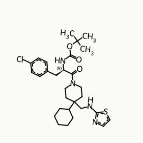 CC(C)(C)OC(=O)N[C@H](Cc1ccc(Cl)cc1)C(=O)N1CCC(CNc2nccs2)(C2CCCCC2)CC1